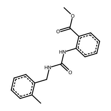 COC(=O)c1ccccc1NC(=O)NCc1ccccc1C